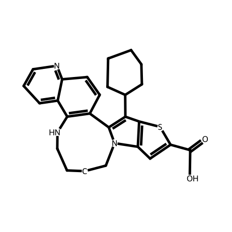 O=C(O)c1cc2c(s1)c(C1CCCCC1)c1n2CCCCNc2c-1ccc1ncccc21